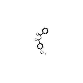 O=C(CC(=O)c1ccc(C(F)(F)F)cc1)c1ccccc1